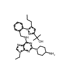 CCCc1cc(C(C)(C)O)nn1-c1ccccc1CNc1nc(N2CCC(N)CC2)nc2c1ncn2CC